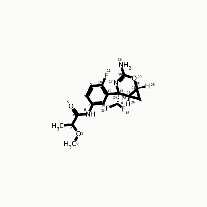 COC(C)C(=O)Nc1ccc(F)c([C@@]2(C(F)F)N=C(N)O[C@@H]3C[C@@H]32)c1